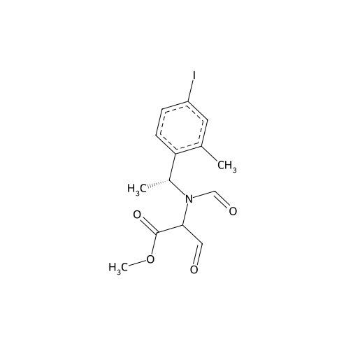 COC(=O)C(C=O)N(C=O)[C@H](C)c1ccc(I)cc1C